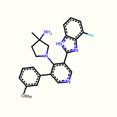 COc1cccc(-c2cncc(-c3nc4c(F)cccc4[nH]3)c2N2CCC(C)(N)C2)c1